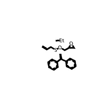 C=C(c1ccccc1)c1ccccc1.C=CCSOCC1CO1.CCC